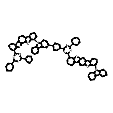 c1ccc(-c2nc(-c3ccc(-c4ccc5c(c4)c4ccccc4n5-c4cccc5c4oc4c5ccc5c6cccc(-c7nc(-c8ccccc8)nc(-c8ccccc8)n7)c6sc54)cc3)nc(-c3cccc4c3sc3cc5c(cc34)oc3c(-n4c6ccccc6c6ccccc64)cccc35)n2)cc1